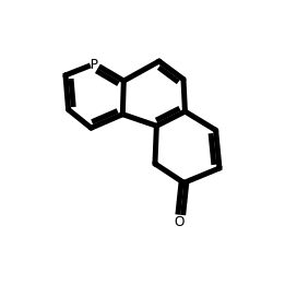 O=C1C=Cc2ccc3pcccc3c2C1